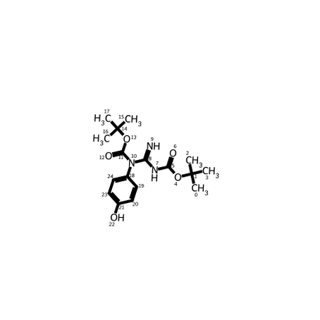 CC(C)(C)OC(=O)NC(=N)N(C(=O)OC(C)(C)C)c1ccc(O)cc1